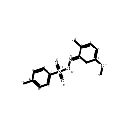 [CH2]C1=CC=C(OC)CC1=NOS(=O)(=O)c1ccc(C)cc1